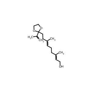 C=C(C)C1(CC/C(C)=C/CC/C(C)=C/CO)OCCO1